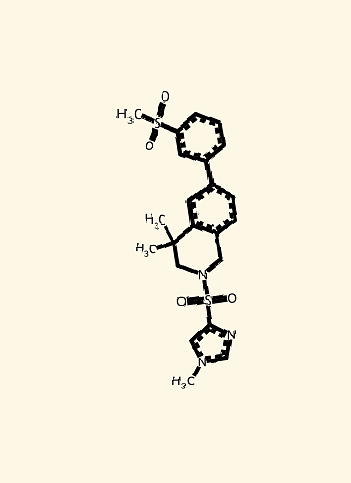 Cn1cnc(S(=O)(=O)N2Cc3ccc(-c4cccc(S(C)(=O)=O)c4)cc3C(C)(C)C2)c1